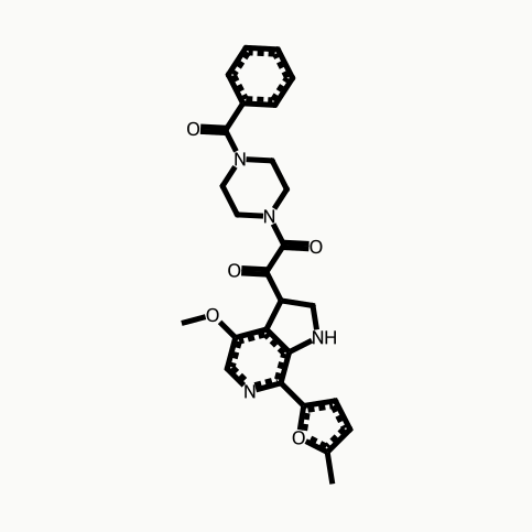 COc1cnc(-c2ccc(C)o2)c2c1C(C(=O)C(=O)N1CCN(C(=O)c3ccccc3)CC1)CN2